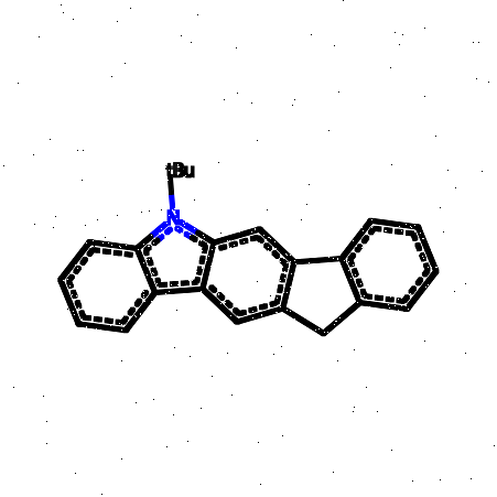 CC(C)(C)n1c2ccccc2c2cc3c(cc21)-c1ccccc1C3